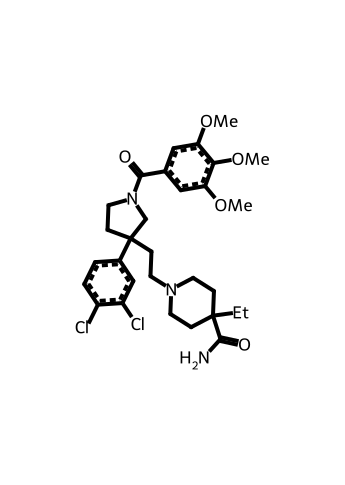 CCC1(C(N)=O)CCN(CCC2(c3ccc(Cl)c(Cl)c3)CCN(C(=O)c3cc(OC)c(OC)c(OC)c3)C2)CC1